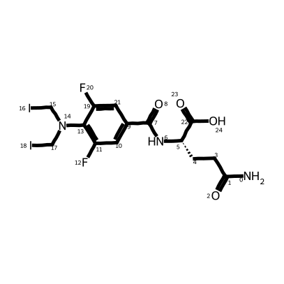 NC(=O)CC[C@H](NC(=O)c1cc(F)c(N(CI)CI)c(F)c1)C(=O)O